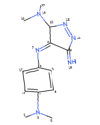 CN(C)c1ccc(N=C2C(=N)N=NC2N(C)C)cc1